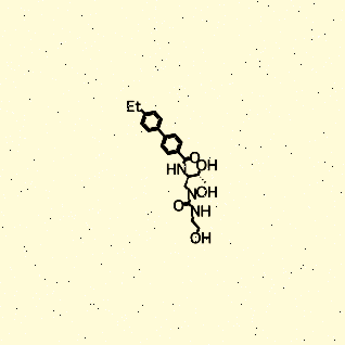 CCc1ccc(-c2ccc(C(=O)N[C@H](CN(O)C(=O)NCCO)[C@@H](C)O)cc2)cc1